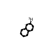 [3H]c1[c]c2ccccc2cc1